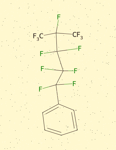 FC(F)(F)C(F)(C(F)(F)F)C(F)(F)C(F)(F)C(F)(F)c1[c]cccc1